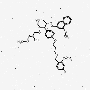 COCC(O)CO[C@H]1CNC[C@H](OCc2cc(OC)c3ccccc3c2)C1c1ccc(OCCCOCc2ccc(F)cc2OC)cc1